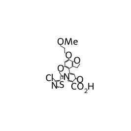 COCCCOc1cc2c(c3c1OCC3)-c1cc(=O)c(C(=O)O)cn1[C@H](c1scnc1Cl)CO2